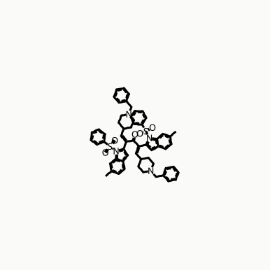 Cc1ccc2cc(C(=CC3CCN(Cc4ccccc4)CC3)C(=O)C(=CC3CCN(Cc4ccccc4)CC3)c3cc4ccc(C)cc4n3S(=O)(=O)c3ccccc3)n(S(=O)(=O)c3ccccc3)c2c1